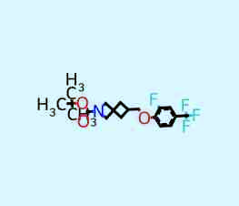 CC(C)(C)OC(=O)N1CC2(CC(COc3ccc(C(F)(F)F)cc3F)C2)C1